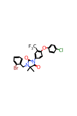 CC1(C)C(=O)N(c2ccc(Oc3ccc(Cl)cc3)c(C(F)(F)F)c2)C(=O)N1Cc1ccccc1Br